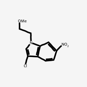 COCCn1cc(Cl)c2ccc([N+](=O)[O-])cc21